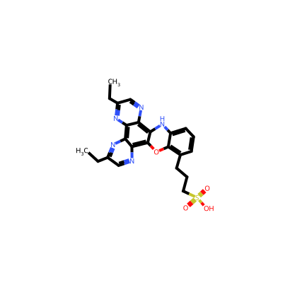 CCc1cnc2c3c(c4ncc(CC)nc4c2n1)Oc1c(CCCS(=O)(=O)O)cccc1N3